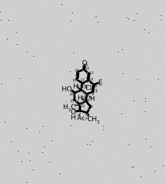 CC(=O)[C@@]1(O)C(C)C[C@H]2[C@@H]3C=C(F)C4=CC(=O)C=C[C@]4(C)[C@H]3C(O)C[C@@]21C